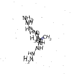 C/C=C/[C@@H](OC(=O)NCCCNCCCCNCCCN)[C@@H](C)COC(=O)NCCCNCCCCNCCCN